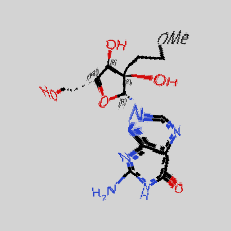 COCC[C@@]1(O)[C@H](O)[C@@H](CO)O[C@H]1n1cnc2c(=O)[nH]c(N)nc21